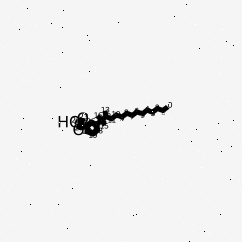 CCCCCCCCCCCCC(C)C(C)(C)c1cccc(S(=O)(=O)O)c1